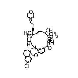 C[C@@H]1[C@@H](C)C/C=C/[C@](O)(C#CCCN2CCOCC2)[C@@H]2CC[C@H]2CN2C[C@@]3(CCCc4cc(Cl)ccc43)COc3ccc(cc32)C(=O)NS1(=O)=O